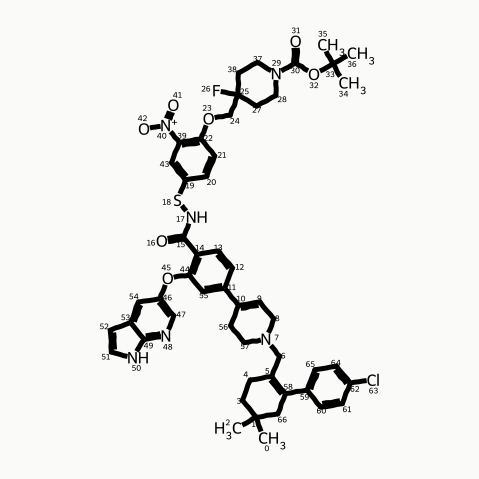 CC1(C)CCC(CN2CC=C(c3ccc(C(=O)NSc4ccc(OCC5(F)CCN(C(=O)OC(C)(C)C)CC5)c([N+](=O)[O-])c4)c(Oc4cnc5[nH]ccc5c4)c3)CC2)=C(c2ccc(Cl)cc2)C1